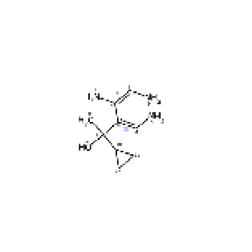 CC(O)(C(=C/N)/C(N)=C\N)C1CC1